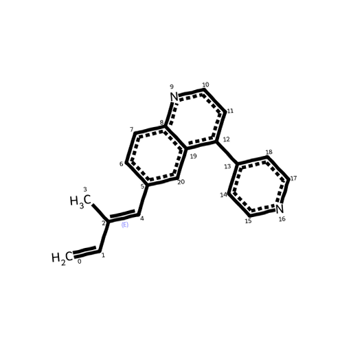 C=C/C(C)=C/c1ccc2nccc(-c3ccncc3)c2c1